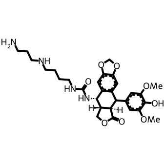 COc1cc(C2c3cc4c(cc3[C@@H](NC(=O)NCCCCNCCCN)[C@H]3COC(=O)[C@H]23)OCO4)cc(OC)c1O